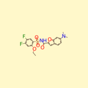 CCOc1cc(F)c(F)cc1S(=O)(=O)NC(=O)c1cc2ccc(N(C)C)cc2o1